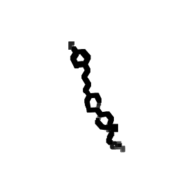 CCC[Si@H]1CC[C@H]([C@H]2CC[C@H](CCCCc3ccc(F)cc3)CC2)CC1